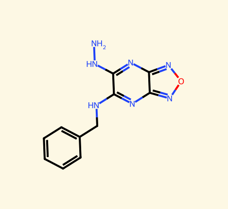 NNc1nc2nonc2nc1NCc1ccccc1